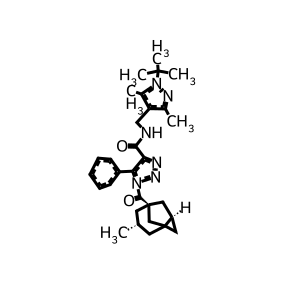 Cc1nn(C(C)(C)C)c(C)c1CNC(=O)c1nnn(C(=O)[C@@]23C[C@@H](C)CC4(C[C@@H]4C2)C3)c1-c1ccccc1